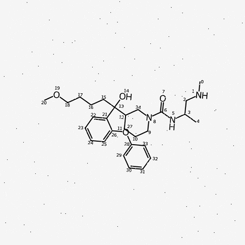 CNCC(C)NC(=O)N1CCCC(C(O)(CCCCOC)c2ccccc2Oc2ccccc2)C1